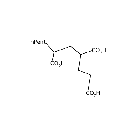 CCCCCC(CC(CCC(=O)O)C(=O)O)C(=O)O